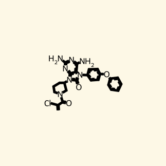 C=C(Cl)C(=O)N1CCCC(n2c(=O)n(-c3ccc(Oc4ccccc4)cc3)c3c(N)nc(N)nc32)C1